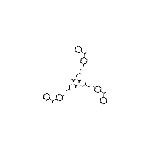 O=C(c1ccccc1)c1ccc(OCC(O)Cn2c(=O)n(CC(O)COc3ccc(C(=O)c4ccccc4)cc3)c(=O)n(CC(O)COc3ccc(C(=O)c4ccccc4)cc3)c2=O)cc1